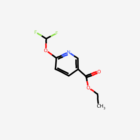 CCOC(=O)c1ccc(OC(F)F)nc1